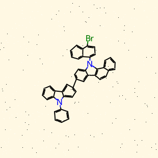 Brc1ccc(-n2c3ccc(-c4ccc5c(c4)c4ccccc4n5-c4ccccc4)cc3c3ccc4ccccc4c32)c2ccccc12